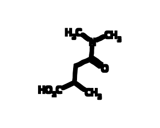 CC(CC(=O)N(C)C)C(=O)O